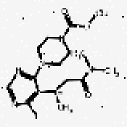 C[C@H](CC(=O)N(C)C)c1c(I)ncnc1N1CCN(C(=O)OC(C)(C)C)CC1